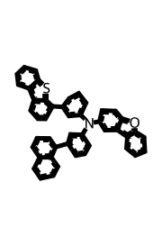 c1cc(-c2cccc3ccccc23)cc(N(c2cccc(-c3cccc4c3sc3ccccc34)c2)c2ccc3oc4ccccc4c3c2)c1